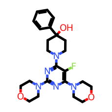 OC1(c2ccccc2)CCN(c2nc(N3CCOCC3)nc(N3CCOCC3)c2F)CC1